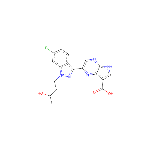 CC(O)CCn1nc(-c2cnc3[nH]cc(C(=O)O)c3n2)c2ccc(F)cc21